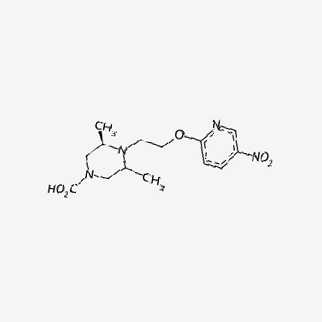 CC1CN(C(=O)O)C[C@@H](C)N1CCOc1ccc([N+](=O)[O-])cn1